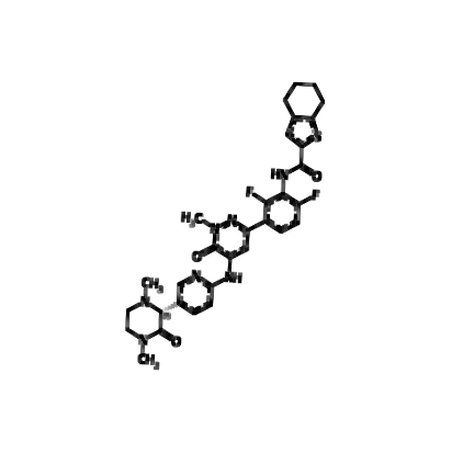 CN1CCN(C)[C@H](c2ccc(Nc3cc(-c4ccc(F)c(NC(=O)c5cc6c(s5)CCCC6)c4F)nn(C)c3=O)nc2)C1=O